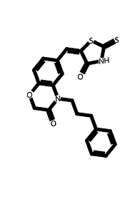 O=C1NC(=S)SC1=Cc1ccc2c(c1)N(CCCc1ccccc1)C(=O)CO2